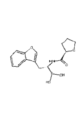 O=C(N[C@@H](Cc1coc2ccccc12)B(O)O)[C@H]1CCCO1